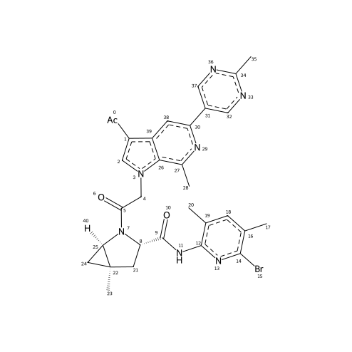 CC(=O)c1cn(CC(=O)N2[C@H](C(=O)Nc3nc(Br)c(C)cc3C)C[C@@]3(C)C[C@@H]23)c2c(C)nc(-c3cnc(C)nc3)cc12